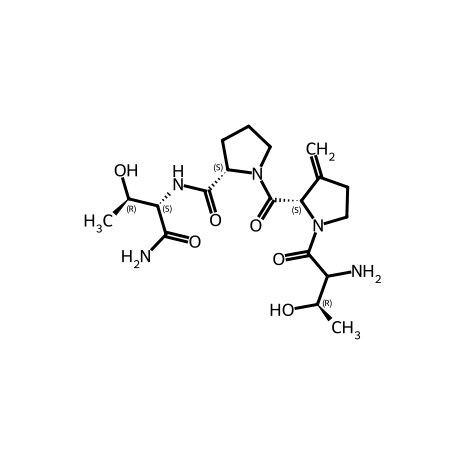 C=C1CCN(C(=O)C(N)[C@@H](C)O)[C@@H]1C(=O)N1CCC[C@H]1C(=O)N[C@H](C(N)=O)[C@@H](C)O